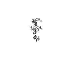 CCS(=O)(=O)Nc1nc(C(C)(C)C(=O)Nc2ccc(-c3cncc(C(F)(F)F)n3)cn2)cs1